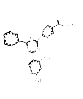 COC(=O)c1ccc(-c2nc(-c3ccccc3)nc(-c3ccc(N)cc3O)n2)cc1